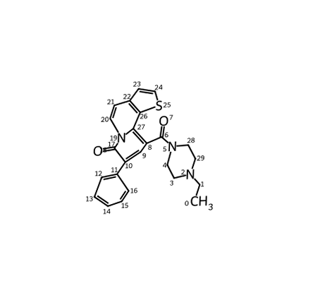 CCN1CCN(C(=O)c2cc(-c3ccccc3)c(=O)n3ccc4ccsc4c23)CC1